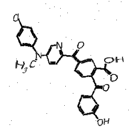 CN(c1ccc(Cl)cc1)c1ccc(C(=O)c2ccc(C(=O)c3cccc(O)c3)c(C(=O)O)c2)nc1